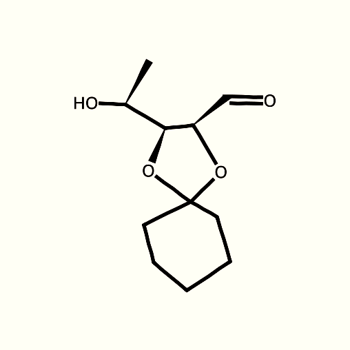 C[C@H](O)[C@@H]1OC2(CCCCC2)O[C@@H]1C=O